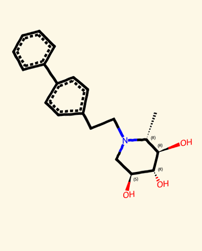 C[C@@H]1[C@@H](O)[C@H](O)[C@@H](O)CN1CCc1ccc(-c2ccccc2)cc1